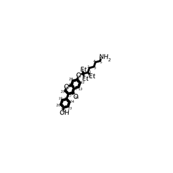 CCC(CCCCN)C(CC)(CC)Oc1ccc2c(=O)c(-c3ccc(O)cc3)coc2c1